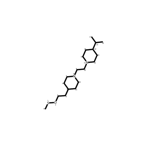 CSOCCC1CCN(CCN2CCC(C(C)C)CC2)CC1